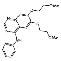 COCCOc1cc2ncnc(Nc3ccccc3)c2cc1OCCOC